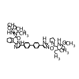 COC(=O)N[C@H](C(=O)N1CCC[C@H]1c1ncc(-c2ccc(-c3ccc(-c4cnc(C5C6CCC(C6)[C@H]5C(=O)N(NC(=O)OC)C(C)C)[nH]4)cc3)cc2)[nH]1)C(C)C